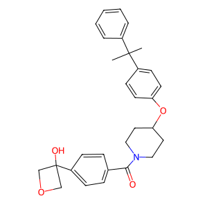 CC(C)(c1ccccc1)c1ccc(OC2CCN(C(=O)c3ccc(C4(O)COC4)cc3)CC2)cc1